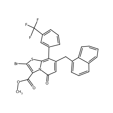 COC(=O)c1c(Br)sc2c(-c3cccc(C(F)(F)F)c3)c(Cc3cccc4ccccc34)cc(=O)n12